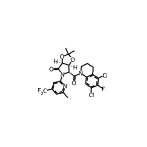 Cc1cc(C(F)(F)F)cc(N2C(=O)[C@H]3OC(C)(C)O[C@H]3[C@H]2C(=O)N2CCCc3c2cc(Cl)c(F)c3Cl)n1